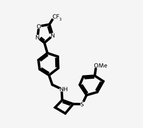 COc1ccc(SC2=C(NCc3ccc(-c4noc(C(F)(F)F)n4)cc3)CC2)cc1